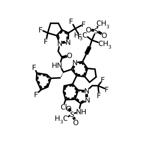 CC(C)(C#Cc1nc([C@H](Cc2cc(F)cc(F)c2)NC(=O)Cn2nc(C(F)(F)F)c3c2C(F)(F)CC3)c(-c2ccc(Cl)c3c(NS(C)(=O)=O)nn(CC(F)(F)F)c23)c2c1CCC2)S(C)(=O)=O